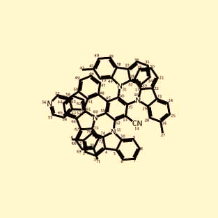 Cc1ccc2c3ccccc3n(-c3c(C#N)c(-n4c5ccccc5c5ccc(C)cc54)c(-n4c5ccccc5c5ccc(C)cc54)c(-c4cccc5c4sc4ccncc45)c3-n3c4ccccc4c4ccc(C)cc43)c2c1